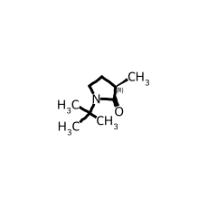 C[C@@H]1CCN(C(C)(C)C)C1=O